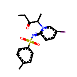 CCC(=O)C(C)n1cc(I)cc/c1=N\S(=O)(=O)c1ccc(C)cc1